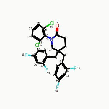 O=C1CCC(Cc2ccc(F)cc2F)(Cc2ccc(F)cc2F)CN1c1c(Cl)cccc1Cl